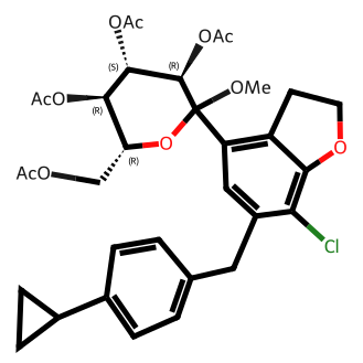 COC1(c2cc(Cc3ccc(C4CC4)cc3)c(Cl)c3c2CCO3)O[C@H](COC(C)=O)[C@@H](OC(C)=O)[C@H](OC(C)=O)[C@H]1OC(C)=O